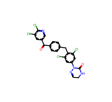 O=C(c1ccc(Cc2c(Cl)cc(N3N=CCNC3=O)cc2Cl)cc1)c1cnc(Cl)c(Cl)c1